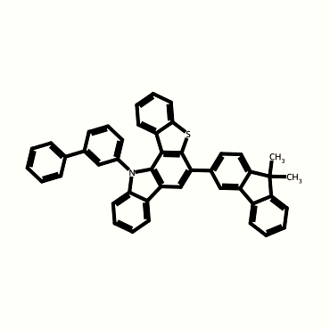 CC1(C)c2ccccc2-c2cc(-c3cc4c5ccccc5n(-c5cccc(-c6ccccc6)c5)c4c4c3sc3ccccc34)ccc21